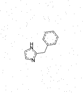 [c]1cccc(Cc2ncc[nH]2)c1